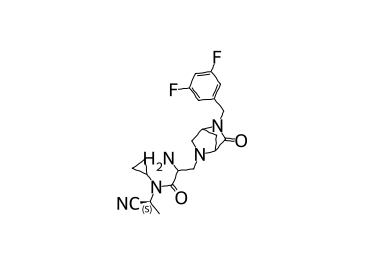 C[C@@H](C#N)N(C(=O)C(N)CN1CC2CC1C(=O)N2Cc1cc(F)cc(F)c1)C1CC1